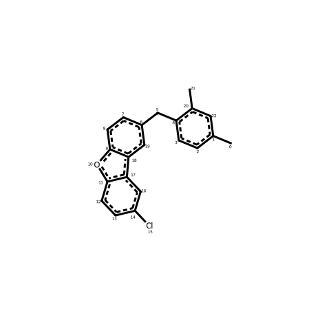 Cc1ccc([CH]c2ccc3oc4ccc(Cl)cc4c3c2)c(C)c1